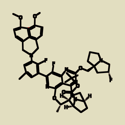 COc1ccc(CN(Cc2ccc(OC)cc2)c2cc(C)cc(-c3nc4c5c(nc(OC[C@@]67CCCN6C[C@H](F)C7)nc5c3F)N3C[C@H]5CC[C@@H]([C@H]3[C@H](C)O4)N5C(=O)OC(C)(C)C)c2F)cc1